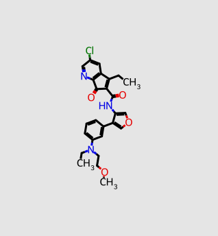 CCC1=C(C(=O)Nc2cocc2-c2cccc(N(CC)CCOC)c2)C(=O)c2ncc(Cl)cc21